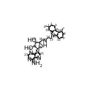 Cc1ccc2c3c(C)cccc3n(CCNCC3OC(n4cnc5c(N)ncnc54)C(O)C3O)c2c1